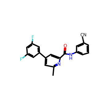 Cc1cc(-c2cc(F)cc(F)c2)cc(C(=O)Nc2cccc(C#N)c2)n1